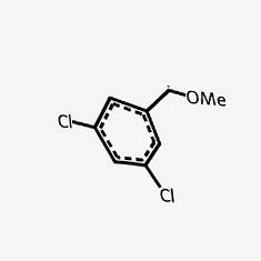 CO[CH]c1cc(Cl)cc(Cl)c1